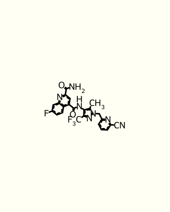 Cc1c(NC(=O)c2cc(C(N)=O)nc3cc(F)ccc23)c(C(F)(F)F)nn1Cc1cccc(C#N)n1